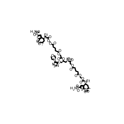 CCN(C(=O)OCOC(=O)CCCC(=O)OCC(=O)O[C@H](COc1nsnc1N1CCOCC1)CN(C(=O)COC(=O)CCCC(=O)OCOC(=O)N(CC)[C@H]1C[C@H](C)S(=O)(=O)c2sc(S(N)(=O)=O)cc21)C(C)(C)C)[C@H]1C[C@H](C)S(=O)(=O)c2sc(S(N)(=O)=O)cc21